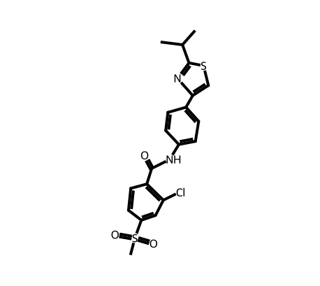 CC(C)c1nc(-c2ccc(NC(=O)c3ccc(S(C)(=O)=O)cc3Cl)cc2)cs1